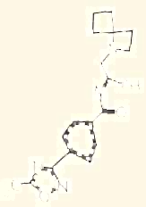 C/C(CN1CCC12CCC2)=N\C(=O)c1ccc(-c2noc(C(F)(F)F)n2)cc1